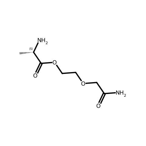 C[C@H](N)C(=O)OCCOCC(N)=O